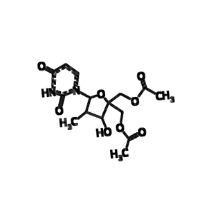 CC(=O)OCC1(COC(C)=O)OC(n2ccc(=O)[nH]c2=O)C(C)C1O